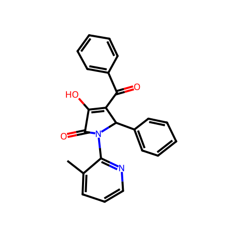 Cc1cccnc1N1C(=O)C(O)=C(C(=O)c2ccccc2)C1c1ccccc1